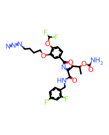 CC(OC(N)=O)c1oc(-c2ccc(OC(F)F)c(OCCCCN=[N+]=[N-])c2)nc1C(=O)NCc1ccc(F)cc1F